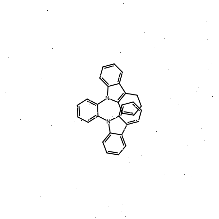 C1=Cc2c(c3ccccc3n2-c2ccccc2-n2c3ccccc3c3ccccc32)CC1